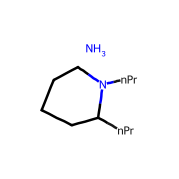 CCCC1CCCCN1CCC.N